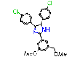 COCc1cc(OC)cc(C2=NC(c3ccc(Cl)cc3)C(c3ccc(Cl)cc3)N2)c1